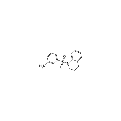 Nc1cccc(S(=O)(=O)N2CCCc3ccccc32)c1